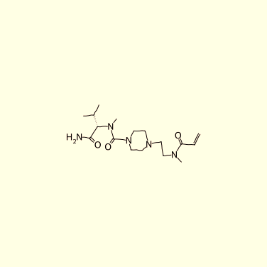 C=CC(=O)N(C)CCN1CCN(C(=O)N(C)[C@H](C(N)=O)C(C)C)CC1